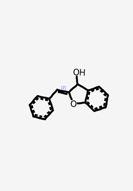 OC1/C(=C/c2ccccc2)Oc2ccccc21